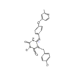 CCn1c(=O)[nH]/c(=N\c2ccc(Oc3ccnc(C)c3)cc2)n(Cc2ccc(Cl)cc2)c1=O